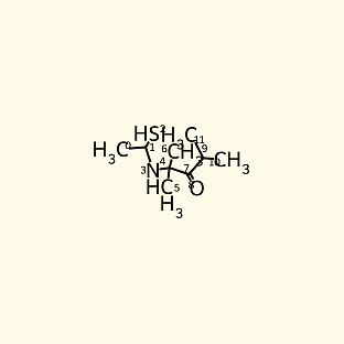 CC(S)NC(C)(C)C(=O)C(C)C